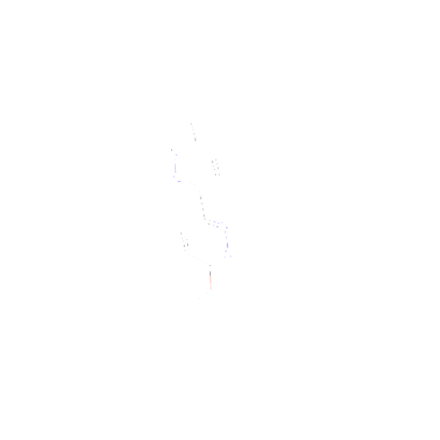 COc1ccc(-c2ccc(C)nn2)nn1